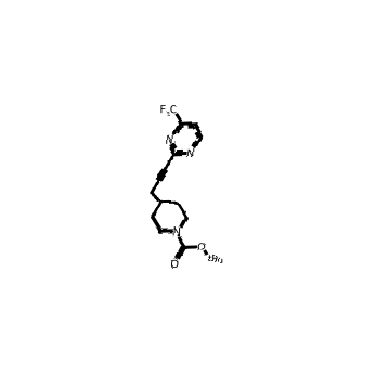 CC(C)(C)OC(=O)N1CCC(CC#Cc2nccc(C(F)(F)F)n2)CC1